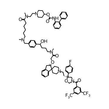 CN(CCCCCC(=O)N(C)CCN1CCC(OC(=O)Nc2ccccc2-c2ccccc2)CC1)Cc1ccc(C(O)CCCN(C)C(=O)CO[C@H]2Cc3ccccc3C23CCN(CC[C@]2(c4ccc(F)cc4)CN(C(=O)c4cc(C(F)(F)F)cc(C(F)(F)F)c4)CO2)CC3)cc1